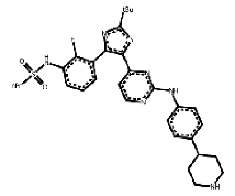 CCCS(=O)(=O)Nc1cccc(-c2nc(C(C)(C)C)sc2-c2ccnc(Nc3ccc(C4CCNCC4)cc3)n2)c1F